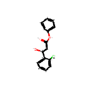 [O][C@@H](CC(=O)Oc1ccccc1)c1ccccc1Cl